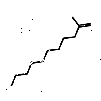 C=C(C)CCCCSSCCC